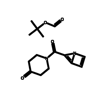 CC(C)(C)OC=O.O=C1CCN(C(=O)c2c3ccn2-3)CC1